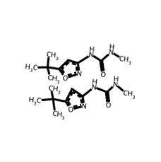 CNC(=O)Nc1cc(C(C)(C)C)on1.CNC(=O)Nc1cc(C(C)(C)C)on1